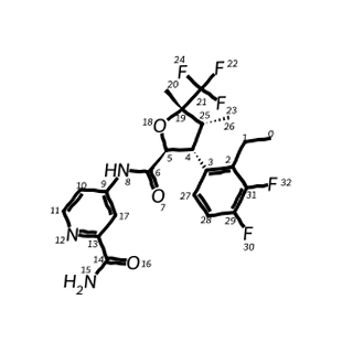 CCc1c([C@@H]2[C@@H](C(=O)Nc3ccnc(C(N)=O)c3)O[C@](C)(C(F)(F)F)[C@@H]2C)ccc(F)c1F